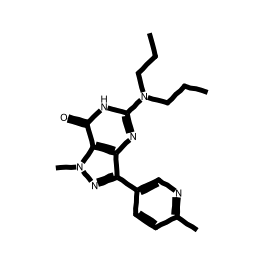 CCCN(CCC)c1nc2c(-c3ccc(C)nc3)nn(C)c2c(=O)[nH]1